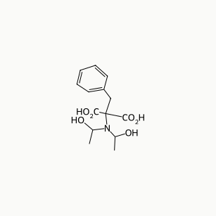 CC(O)N(C(C)O)C(Cc1ccccc1)(C(=O)O)C(=O)O